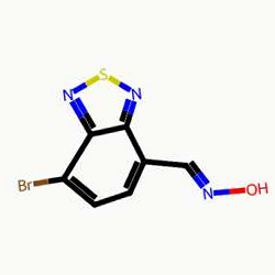 O/N=C/c1ccc(Br)c2nsnc12